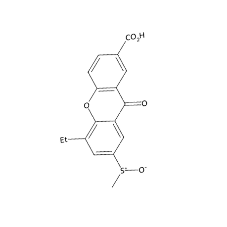 CCc1cc([S+](C)[O-])cc2c(=O)c3cc(C(=O)O)ccc3oc12